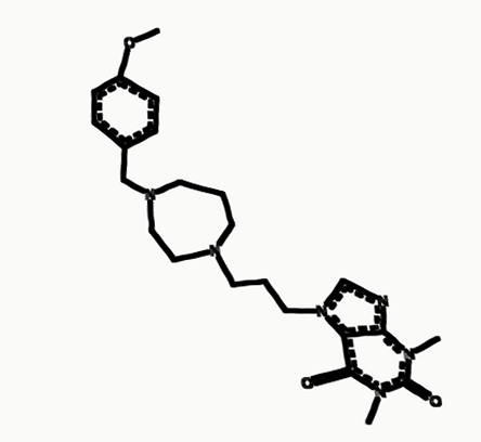 COc1ccc(CN2CCCN(CCCn3cnc4c3c(=O)n(C)c(=O)n4C)CC2)cc1